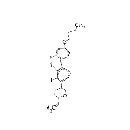 C=CC1CCC(c2ccc(-c3ccc(OCCCC)cc3F)c(F)c2F)CO1